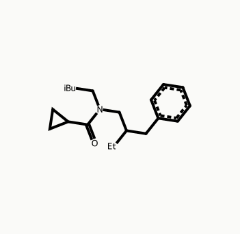 CCC(C)CN(CC(CC)Cc1ccccc1)C(=O)C1CC1